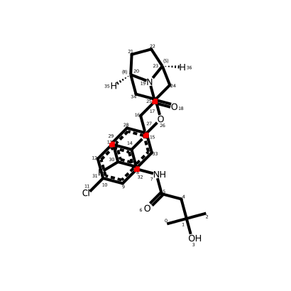 CC(C)(O)CC(=O)Nc1cc(Cl)ccc1OCC(=O)N1[C@@H]2CC[C@H]1CC(Oc1ccc(F)cc1)C2